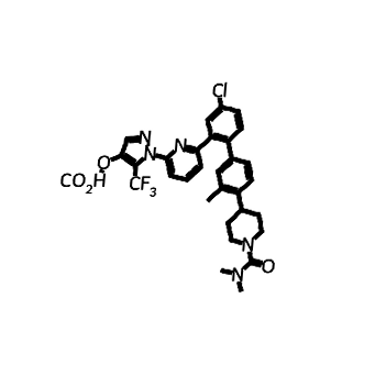 Cc1cc(-c2ccc(Cl)cc2-c2cccc(-n3ncc(OC(=O)O)c3C(F)(F)F)n2)ccc1C1CCN(C(=O)N(C)C)CC1